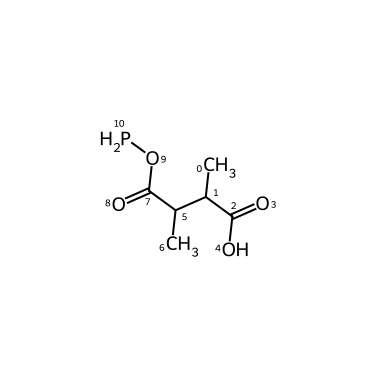 CC(C(=O)O)C(C)C(=O)OP